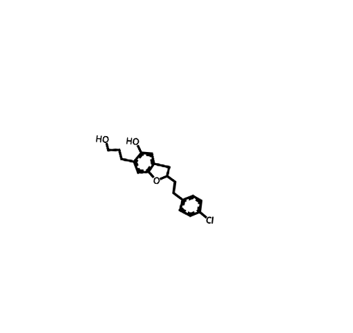 OCCCc1cc2c(cc1O)CC(CCc1ccc(Cl)cc1)O2